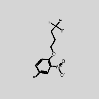 O=[N+]([O-])c1cc(F)ccc1OCCCC(F)(F)F